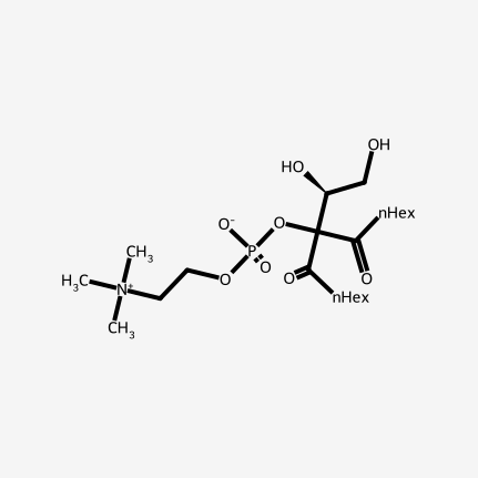 CCCCCCC(=O)C(OP(=O)([O-])OCC[N+](C)(C)C)(C(=O)CCCCCC)[C@@H](O)CO